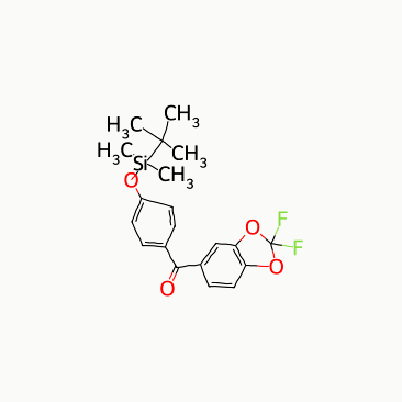 CC(C)(C)[Si](C)(C)Oc1ccc(C(=O)c2ccc3c(c2)OC(F)(F)O3)cc1